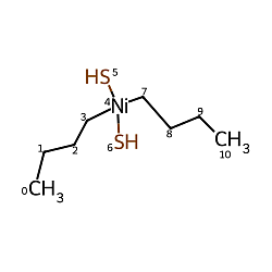 CCC[CH2][Ni]([SH])([SH])[CH2]CCC